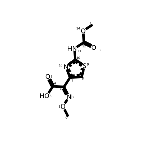 CON=C(C(=O)O)c1csc(NC(=O)OC)n1